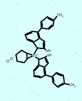 CCCC1=Cc2c(-c3ccc(C)cc3)cccc2[CH]1[Zr+2]1([CH]2C(CCC)=Cc3c(-c4ccc(C)cc4)cccc32)[CH]2CCCC[CH]21.[Cl-].[Cl-]